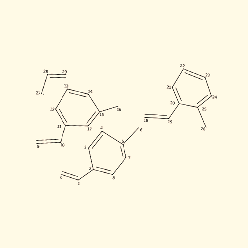 C=Cc1ccc(C)cc1.C=Cc1cccc(C)c1.C=Cc1ccccc1C.[CH2]C=C